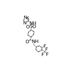 O=C(NCc1ccc(C(F)(F)F)c(F)c1)c1ccc(S(=O)(=O)Nc2ncns2)cc1